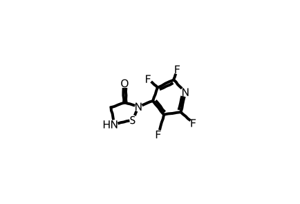 O=C1CNSN1c1c(F)c(F)nc(F)c1F